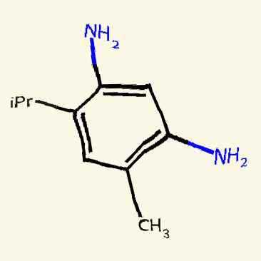 Cc1cc(C(C)C)c(N)cc1N